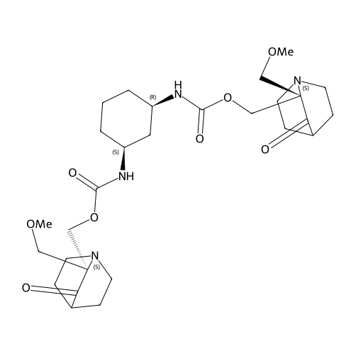 COC[C@]1(COC(=O)N[C@@H]2CCC[C@H](NC(=O)OC[C@@]3(COC)C(=O)C4CCN3CC4)C2)C(=O)C2CCN1CC2